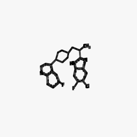 CC(CC1CCC(c2ccnc3ccc(F)cc23)CC1)c1nc2cc(Cl)c(F)cc2[nH]1